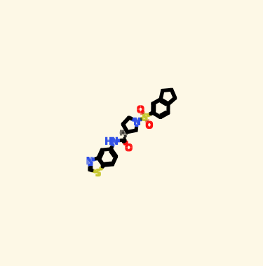 O=C(Nc1ccc2scnc2c1)[C@@H]1CCN(S(=O)(=O)c2ccc3c(c2)CCC3)C1